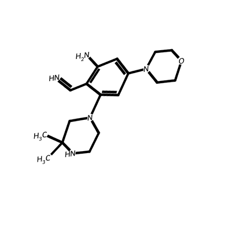 CC1(C)CN(c2cc(N3CCOCC3)cc(N)c2C=N)CCN1